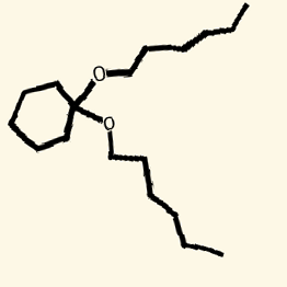 CCCCCCOC1(OCCCCCC)CCCCC1